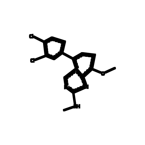 CNc1ncc2c(-c3ccc(Cl)c(Cl)c3)ccc(OC)c2n1